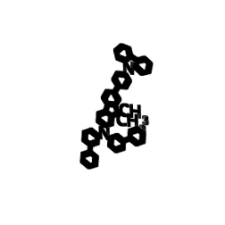 CC1(C)c2cc(-c3ccc(-n4c5ccccc5c5ccccc54)cc3)ccc2-c2ccc(N(c3cccc(-c4ccccc4)c3)c3cccc(-c4ccccc4)c3)cc21